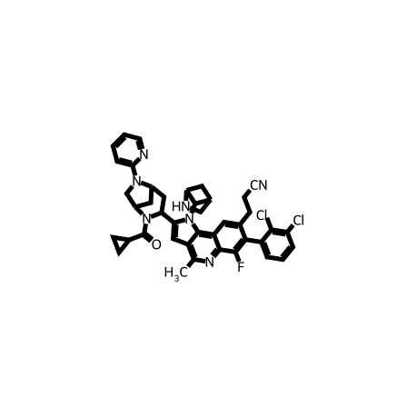 Cc1nc2c(F)c(-c3cccc(Cl)c3Cl)c(CCC#N)cc2c2c1cc(C1CC3CC(CN3c3ccccn3)N1C(=O)C1CC1)n2C1C2CNC1C2